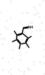 Cc1c(C)c(C)c(C=N)c(C)c1C